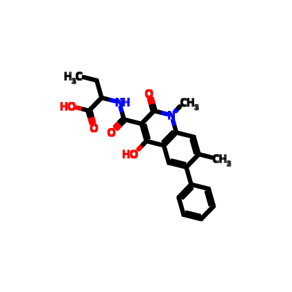 CCC(NC(=O)c1c(O)c2cc(-c3ccccc3)c(C)cc2n(C)c1=O)C(=O)O